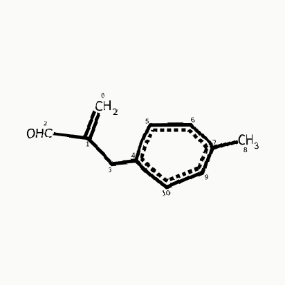 C=C(C=O)Cc1ccc(C)cc1